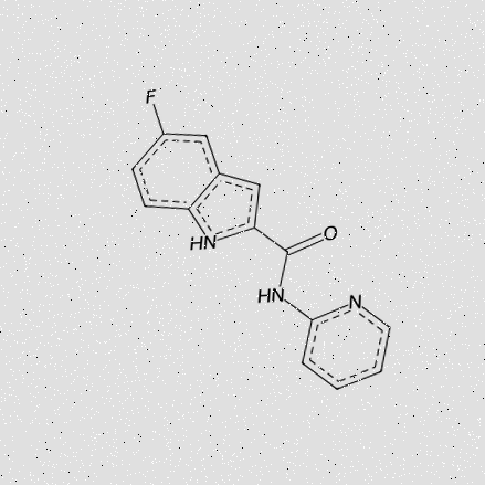 O=C(Nc1ccccn1)c1cc2cc(F)ccc2[nH]1